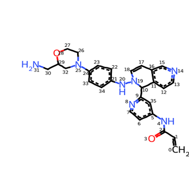 C=CC(=O)Nc1ccnc(C2c3ccncc3C=CN2Nc2ccc(N3CCOC(CN)C3)cc2)c1